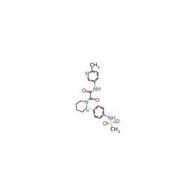 Cc1ccc(NC(=O)C(=O)N2CCCC[C@H]2c2ccc(NS(C)(=O)=O)cc2)cn1